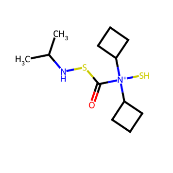 CC(C)NSC(=O)[N+](S)(C1CCC1)C1CCC1